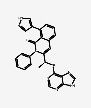 C[C@H](Nc1ncnc2[nH]cnc12)c1cc2cccc(-c3cn[nH]c3)c2c(=O)n1-c1ccccc1